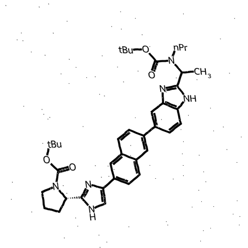 CCCN(C(=O)OC(C)(C)C)C(C)c1nc2cc(-c3ccc4cc(-c5c[nH]c([C@@H]6CCCN6C(=O)OC(C)(C)C)n5)ccc4c3)ccc2[nH]1